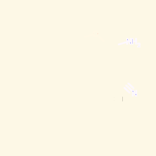 Cc1ccccc1C1C(C#N)C(N)OC2CCc3ccccc3C21